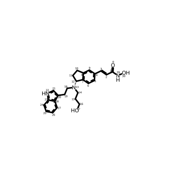 O=C(/C=C/c1ccc2c(c1)CC[C@H]2N(CCCO)CCc1c[nH]c2ccccc12)NO